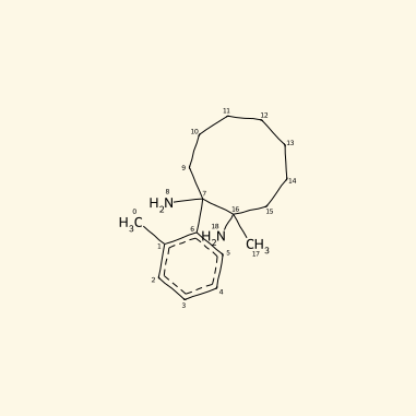 Cc1ccccc1C1(N)CCCCCCCC1(C)N